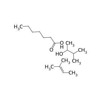 CC(C)C(C)O.CC=C(C)C.CCCCCCC(=O)O